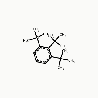 CC(C)(C)c1cc[c]c([Si](C)(C)C)c1C(C)(C)C